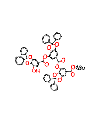 CC(C)(C)OC(=O)c1cc(OC(=O)c2cc(OC(=O)c3cc(O)c4c(c3)OC(c3ccccc3)(c3ccccc3)O4)c3c(c2)OC(c2ccccc2)(c2ccccc2)O3)c2c(c1)OC(c1ccccc1)(c1ccccc1)O2